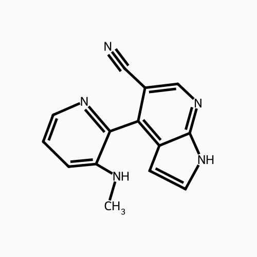 CNc1cccnc1-c1c(C#N)cnc2[nH]ccc12